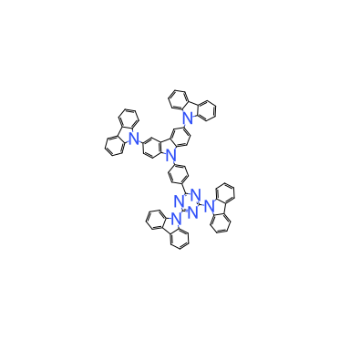 c1ccc2c(c1)c1ccccc1n2-c1ccc2c(c1)c1cc(-n3c4ccccc4c4ccccc43)ccc1n2-c1ccc(-c2nc(-n3c4ccccc4c4ccccc43)nc(-n3c4ccccc4c4ccccc43)n2)cc1